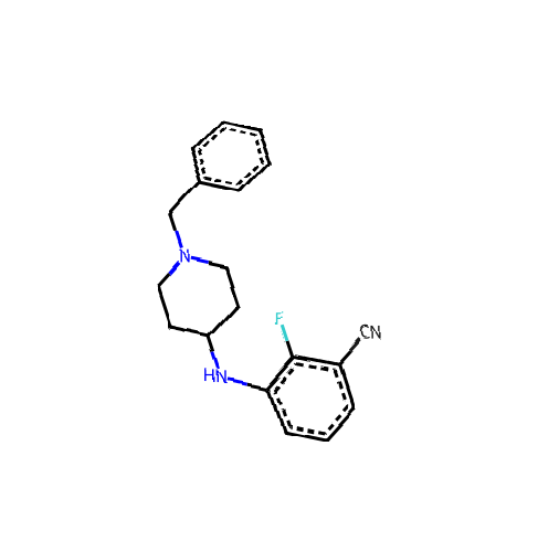 N#Cc1cccc(NC2CCN(Cc3ccccc3)CC2)c1F